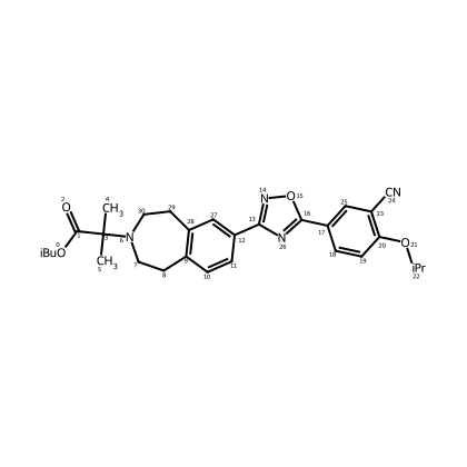 CC(C)COC(=O)C(C)(C)N1CCc2ccc(-c3noc(-c4ccc(OC(C)C)c(C#N)c4)n3)cc2CC1